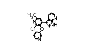 Cc1cc(-c2n[nH]c3ncccc23)c(Oc2cccnc2)c(Cl)n1